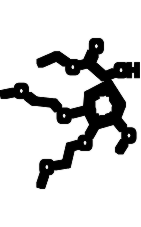 CCOC(=O)CO.COCCOc1cccc(OC)c1OCCOC